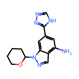 Nc1cc(-c2nnc[nH]2)cc2c1cnn2C1CCCCO1